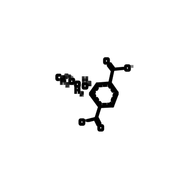 O.O.O.O=C([O-])c1ccc(C(=O)[O-])cc1.[Cu+2]